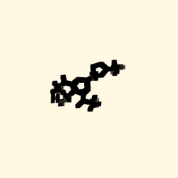 CC(c1cc(N2CCC([N+](C)(C)C)C2)cc(C(C)[Si](C)(C)C)c1N)[Si](C)(C)C